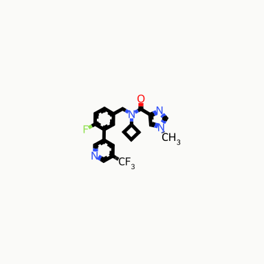 Cn1cnc(C(=O)N(Cc2ccc(F)c(-c3cncc(C(F)(F)F)c3)c2)C2CCC2)c1